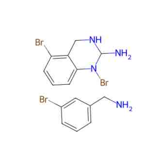 NC1NCc2c(Br)cccc2N1Br.NCc1cccc(Br)c1